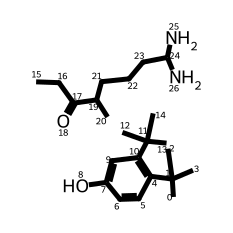 CC(C)(C)c1ccc(O)cc1C(C)(C)C.CCC(=O)C(C)CCCC(N)N